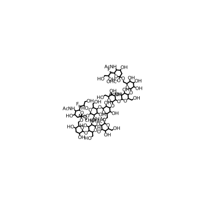 COC1OC(CO)C(OC2OC(COC3OC(CO)C(O)C(O)C3OC3OC(CO)C(OC4OC(COC5(OC=O)CC(O)C(NC(C)=O)C([C@H](F)C(O)CO)O5)C(O)CC4O)C(O)C3NC(C)=O)C(O)C(OC3OC(CO)C(O)C(O)C3OC3OC(CO)C(OC4OC(COC5(OC=O)CC(O)C(NC(C)=O)C([C@H](F)C(O)CO)O5)C(O)C(O)C4O)C(O)C3NC(C)=O)C2O)C(O)C1NC(C)=O